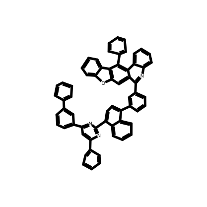 c1ccc(-c2cccc(-c3cc(-c4ccccc4)nc(-c4ccc(-c5cccc(-c6nc7ccccc7c7c(-c8ccccc8)c8c(cc67)oc6ccccc68)c5)c5ccccc45)n3)c2)cc1